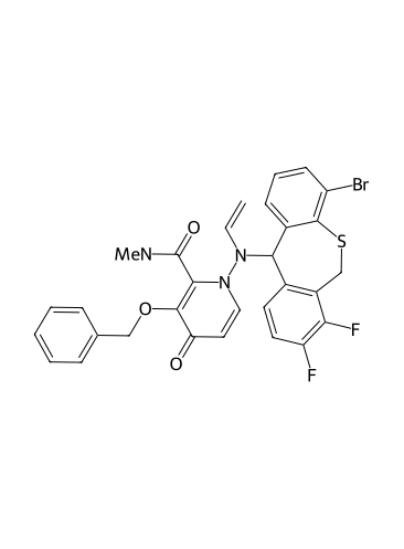 C=CN(C1c2ccc(F)c(F)c2CSc2c(Br)cccc21)n1ccc(=O)c(OCc2ccccc2)c1C(=O)NC